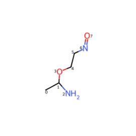 CC(N)OCCN=O